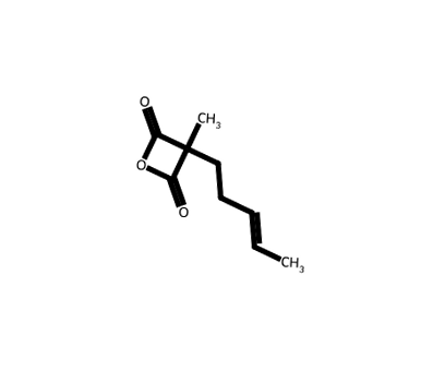 CC=CCCC1(C)C(=O)OC1=O